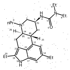 CCCN1C[C@@H](NC(=O)N(CC)CC)C[C@@H]2c3cc(CC)cc4[nH]c(CC)c(c34)C[C@H]21